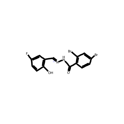 O=C(N/N=C/c1cc(F)ccc1O)c1ccc(Br)cc1Br